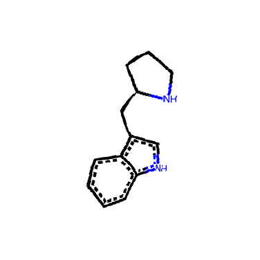 c1ccc2c(C[C@H]3CCCN3)c[nH]c2c1